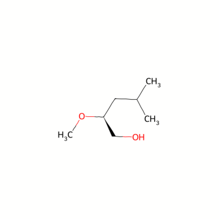 CO[C@H](CO)CC(C)C